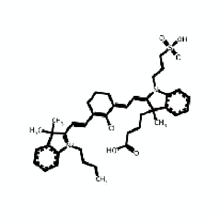 CCCC[N+]1=C(/C=C/C2=C(Cl)C(=C/C=C3/N(CCCS(=O)(=O)O)c4ccccc4C3(C)CCCC(=O)O)/CCC2)C(C)(C)c2ccccc21